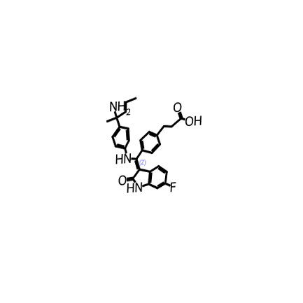 CCCC(C)(N)c1ccc(N/C(=C2\C(=O)Nc3cc(F)ccc32)c2ccc(CCC(=O)O)cc2)cc1